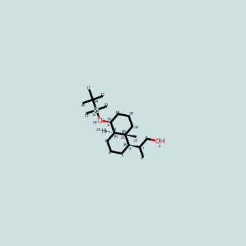 CC(CO)[C@H]1CCC[C@H]2[C@@H](O[Si](C)(C)C(C)(C)C)CCC[C@]12C